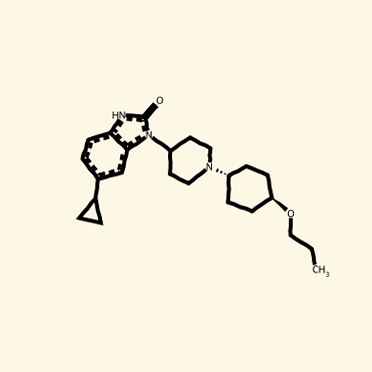 CCCO[C@H]1CC[C@H](N2CCC(n3c(=O)[nH]c4ccc(C5CC5)cc43)CC2)CC1